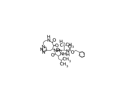 CC(C)CC(NC(=O)C(NC(=O)OCc1ccccc1)C(C)C)C(=O)NC1Cc2cn(nn2)CCNC(=O)C1=O